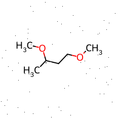 COCC[C](C)OC